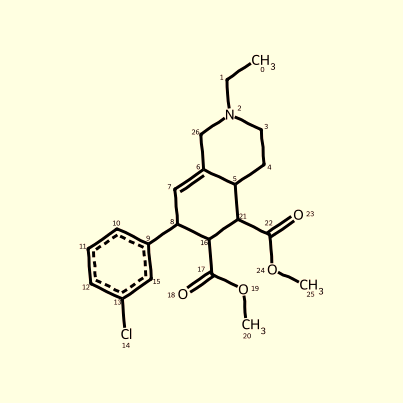 CCN1CCC2C(=CC(c3cccc(Cl)c3)C(C(=O)OC)C2C(=O)OC)C1